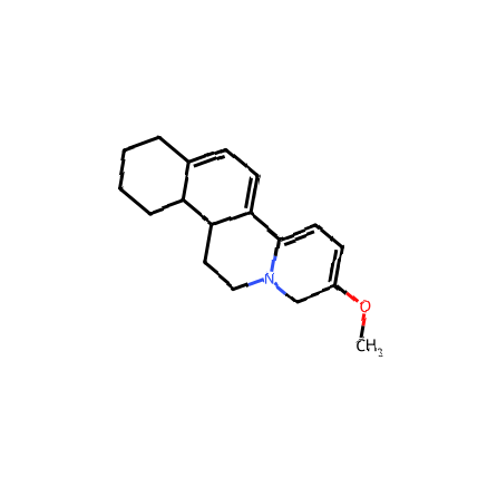 COC1=CC=C2C3=CC=C4CCCCC4C3CCN2C1